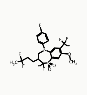 COc1cc2c(cc1C(F)(F)F)N(c1ccc(F)cc1)CC(CCC(C)(F)F)C(F)(F)S2(=O)=O